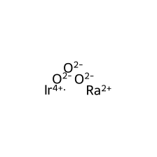 [Ir+4].[O-2].[O-2].[O-2].[Ra+2]